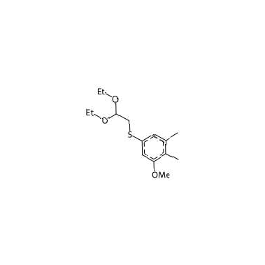 CCOC(CSc1cc(C)c(C)c(OC)c1)OCC